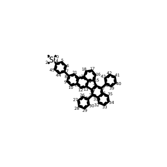 C[Si](C)(C)c1ccc(-c2ccc3cc4c5c(cccc5c3c2)-c2c-4c(-c3ccccc3)c3ccccc3c2-c2ccccc2)cc1